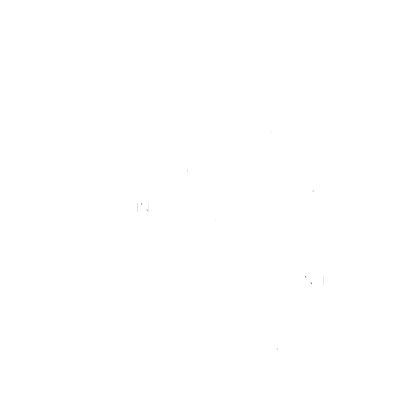 O=C1NC(=O)c2cc(NS(=O)(=O)Cc3ccccc3)ccc21